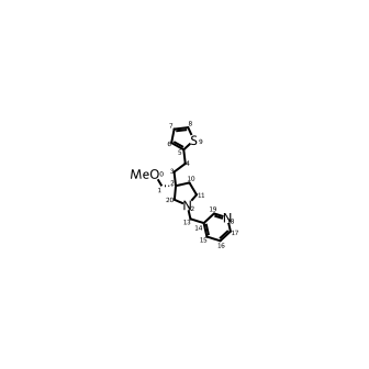 COC[C@]1(CCc2cccs2)CCN(Cc2cccnc2)C1